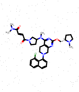 CN(C)C(=O)/C=C/C(=O)N1CCC(N(C)c2nc(OC[C@@H]3CCCN3C)nc3c2CCN(c2cccc4cccc(Cl)c24)C3)C1